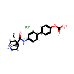 Cl.O=C(O)Oc1ccc(-c2ccc(NC(=O)[C@@H]3CN4CCC3CC4)cc2)cc1